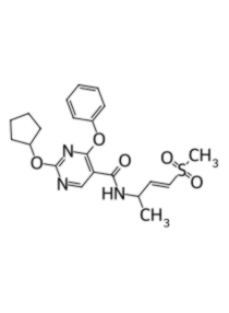 CC(/C=C/S(C)(=O)=O)NC(=O)c1cnc(OC2CCCC2)nc1Oc1ccccc1